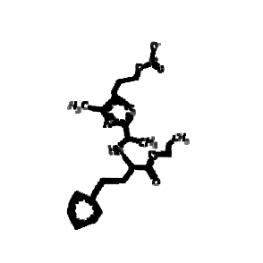 CCOC(=O)C(CCc1ccccc1)NC(C)c1nc(C)c(CCO[N+](=O)[O-])s1